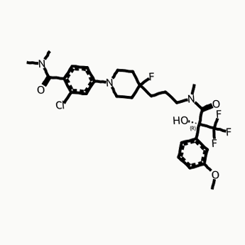 COc1cccc([C@@](O)(C(=O)N(C)CCCC2(F)CCN(c3ccc(C(=O)N(C)C)c(Cl)c3)CC2)C(F)(F)F)c1